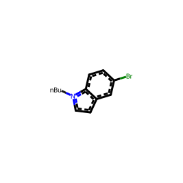 CCCCn1ccc2cc(Br)ccc21